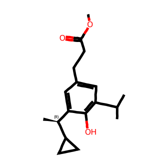 COC(=O)CCc1cc(C(C)C)c(O)c([C@H](C)C2CC2)c1